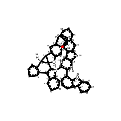 c1ccc2c(c1)-c1c(n(-c3nc4c(nc3-c3cccc5c3oc3ccccc35)sc3cc5ccccc5cc34)c3ccccc13)C13Oc4cc5ccccc5cc4C1[C@H]23